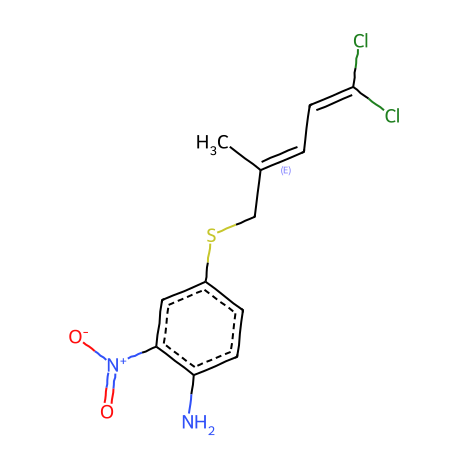 C/C(=C\C=C(Cl)Cl)CSc1ccc(N)c([N+](=O)[O-])c1